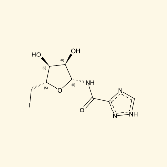 O=C(N[C@@H]1O[C@H](CI)[C@@H](O)[C@H]1O)c1nc[nH]n1